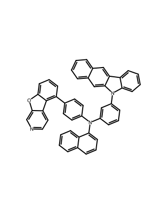 c1cc(N(c2ccc(-c3cccc4oc5cnccc5c34)cc2)c2cccc3ccccc23)cc(-n2c3ccccc3c3cc4ccccc4cc32)c1